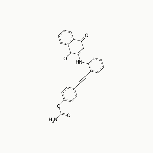 NC(=O)Oc1ccc(C#Cc2ccccc2NC2=CC(=O)c3ccccc3C2=O)cc1